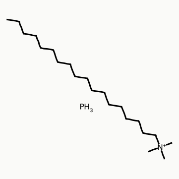 CCCCCCCCCCCCCCCCCC[N+](C)(C)C.P